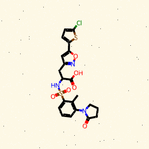 Cc1c(N2CCCC2=O)cccc1S(=O)(=O)NC(Cc1cc(-c2ccc(Cl)s2)on1)C(=O)O